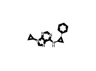 c1ccc([C@@H]2C[C@H]2Nc2ncnc3c2ncn3C2CC2)cc1